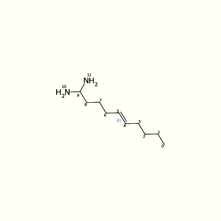 CCCC/C=C/CCCC(N)N